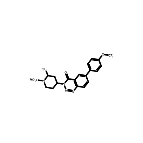 CC(C)(C)C1CC(n2nnc3ccc(-c4ccc(OC(F)(F)F)cc4)cc3c2=O)CCN1C(=O)O